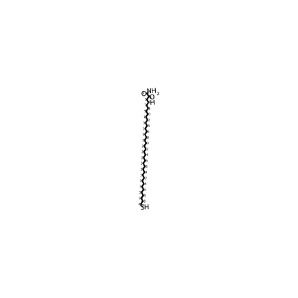 NC(=O)C(O)CCCCCCCCCCCCCCCCCCCCCCCCCCCCCCCCCCCCCS